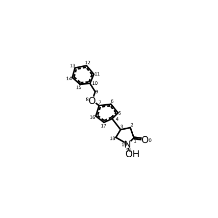 O=C1CC(c2ccc(OCc3ccccc3)cc2)CN1O